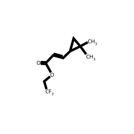 CC1(C)CC1C=CC(=O)OCC(F)(F)F